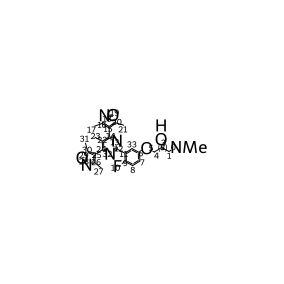 CNC[C@H](O)COc1ccc(F)c(-c2nc(-c3c(C)noc3C)c(C)c(-c3c(C)noc3C)n2)c1